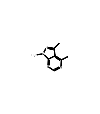 Cc1ncnc2c1c(C)nn2P